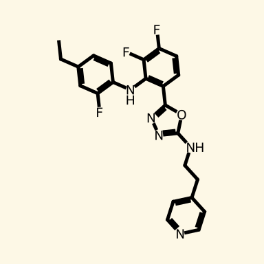 CCc1ccc(Nc2c(-c3nnc(NCCc4ccncc4)o3)ccc(F)c2F)c(F)c1